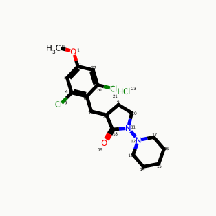 COc1cc(Cl)c(CC2CCN(N3CCCCC3)C2=O)c(Cl)c1.Cl